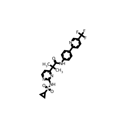 CC(C)(C(=O)Nc1ccc(-c2ccc(C(F)(F)F)cn2)cc1)c1ccnc(NS(=O)(=O)C2CC2)n1